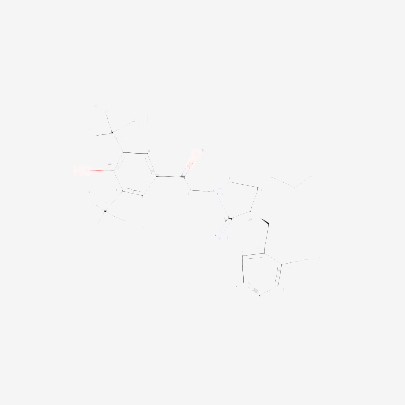 CCC[C@H]1CN(CC(=O)c2cc(C(C)(C)C)c(O)c(C(C)(C)C)c2)C(=N)[C@@H]1Cc1ccccc1F